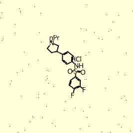 CCCN1CCC(c2ccc(NS(=O)(=O)c3ccc(F)c(F)c3)cc2)C1.Cl